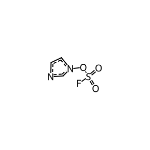 O=S(=O)(F)On1ccnc1